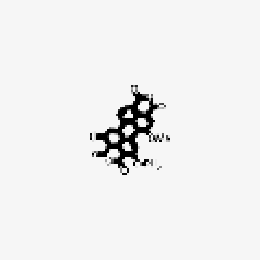 COc1cc2c3c(ccc4c5cc(Cl)c6c7c(c(OP)cc(c1c34)c75)C(=O)OC6=O)C(=O)OC2=O